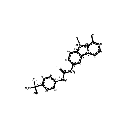 Cc1nccc2c3cc(NC(=S)Nc4ccc(C(F)(F)F)cc4)ccc3n(C)c12